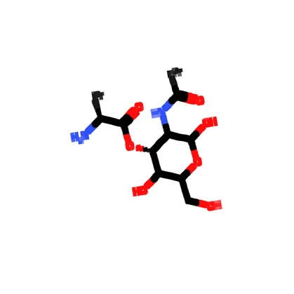 CCCC(=O)NC1C(O)OC(CO)C(O)[C@@H]1OC(=O)[C@@H](N)C(C)C